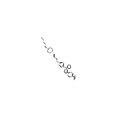 CCCCC[C@H]1CC[C@H](C=CCCc2ccc(C(=O)Oc3ccc(F)cc3)cc2)CC1